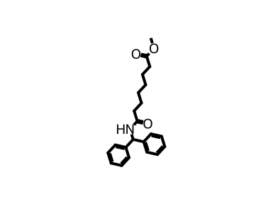 COC(=O)CCCCCCC(=O)NC(c1ccccc1)c1ccccc1